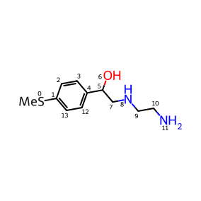 CSc1ccc(C(O)CNCCN)cc1